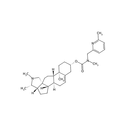 Cc1cccc(CN(C)C(=O)O[C@H]2CC[C@@]3(C)C(=CC[C@H]4[C@@H]5CC[C@@H]6[C@H](C)N(C)C[C@@]65CC[C@@H]43)C2)n1